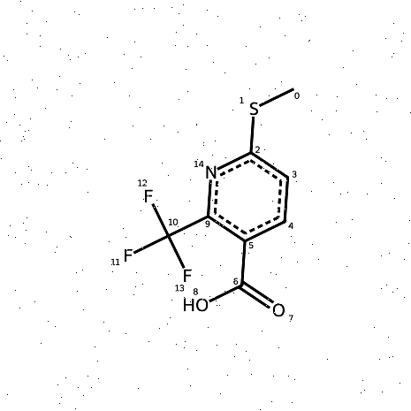 CSc1ccc(C(=O)O)c(C(F)(F)F)n1